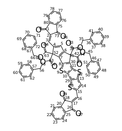 O=C1C(=CC2=CC3=C(c4sc5c(sc6cc(C=C7C(=O)c8ccccc8C7=O)sc65)c4C3(C(=O)OCc3ccccc3)C(=O)OCc3ccccc3)C2(C(=O)OCc2ccccc2)C(=O)OCc2ccccc2)C(=O)c2ccccc21